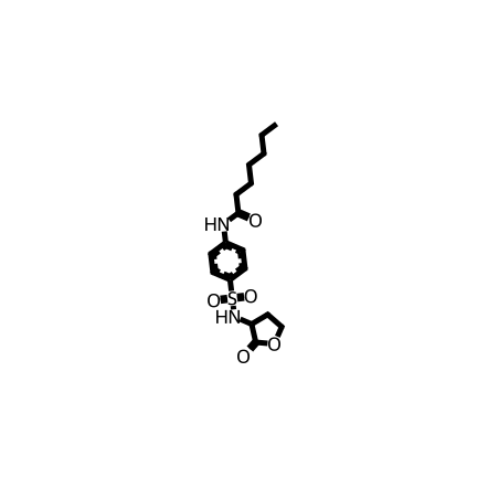 CCCCCCC(=O)Nc1ccc(S(=O)(=O)NC2CCOC2=O)cc1